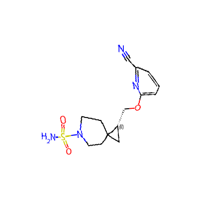 N#Cc1cccc(OC[C@@H]2CC23CCN(S(N)(=O)=O)CC3)n1